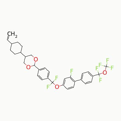 C=CC1CCC(C2COC(c3ccc(C(F)(F)Oc4ccc(-c5ccc(C(F)(F)OC(F)(F)F)cc5)c(F)c4)cc3)OC2)CC1